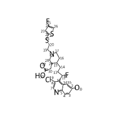 COc1ccc2ncc(Cl)c(C(F)CCC3CCN(CCSc4cc(F)cs4)CC3CC(=O)O)c2c1